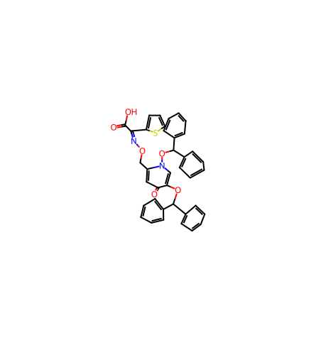 O=C(O)C(=NOCc1cc(=O)c(OC(c2ccccc2)c2ccccc2)cn1OC(c1ccccc1)c1ccccc1)c1cccs1